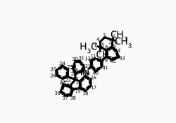 CC1(C)CCC(C)(C)c2c(-c3ccc(Nc4cccc5c4C(c4ccccc4)(c4ccccc4)c4ccccc4-5)cc3)cccc21